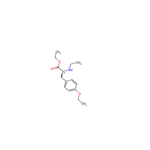 CCN[C@@H](Cc1ccc(OCC)cc1)C(=O)OCC